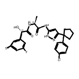 C[C@H](NC(=O)[C@@H](O)c1cc(F)cc(F)c1)C(=O)Nc1cc(C2(c3ccc(Cl)cc3)CCCC2)n[nH]1